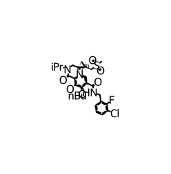 CCCCOc1c2n(cc(C(=O)NCc3cccc(Cl)c3F)c1=O)[C@@]1(C[C@H]1CS(C)(=O)=O)CN(C(C)C)C2=O